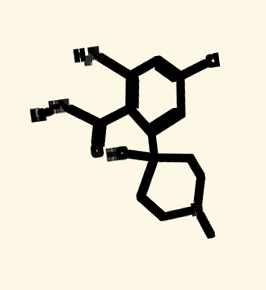 CCNC(=O)c1c(N)cc(Cl)cc1C1(O)CCN(C)CC1